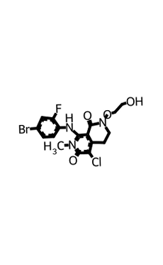 Cn1c(Nc2ccc(Br)cc2F)c2c(c(Cl)c1=O)CCN(OCCO)C2=O